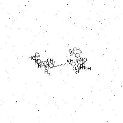 Cc1ncsc1-c1ccc(CNC(=O)[C@@H]2C[C@@H](O)CN2C(=O)C(NC(=O)C2(F)CC2)C2CCC(N(C)CCCCCCCc3cnc(N4C(C)CN(c5cc(-c6ccccc6O)nnc5N)CC4C)nc3)CC2)cc1